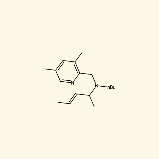 C/C=C/C(C)N(CCCC)Cc1ncc(C)cc1C